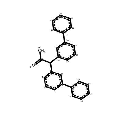 CC(=O)C(c1cccc(-c2ccccc2)c1)c1cccc(-c2ccccc2)c1